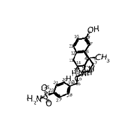 CN1CC[C@@]2(C)c3cc(O)ccc3C[C@@H]1[C@@H]2NCCc1ccc(S(N)(=O)=O)cc1